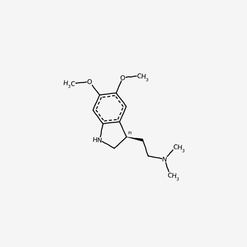 COc1cc2c(cc1OC)[C@@H](CCN(C)C)CN2